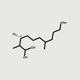 CCCCCCCCCCCCCC(C)CCC[C@@H](CC)C(C)C(O)O